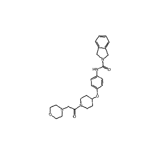 O=C(CN1CCOCC1)N1CCC(Oc2ccc(NC(=O)N3Cc4ccccc4C3)cc2)CC1